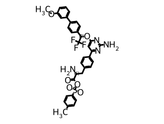 COc1cccc(-c2ccc([C@@H](Oc3cc(-c4ccc(C[C@H](N)C(=O)OS(=O)(=O)c5ccc(C)cc5)cc4)nc(N)n3)C(F)(F)F)cc2)c1